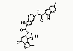 Cc1ccc2[nH]c(C(=O)Nc3ccc4[nH]c(C(=O)N5C[C@H]6C[C@@]67C5=CC(=O)c5scc(C)c57)cc4c3)cc2c1